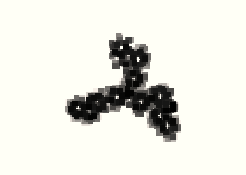 CC1(C)c2ccccc2-c2cccc(-c3ccc(N(c4ccc(-c5ccc6c(ccc7ccccc76)c5)cc4)c4cccc(-c5cccc6oc7c8ccccc8ccc7c56)c4)cc3)c21